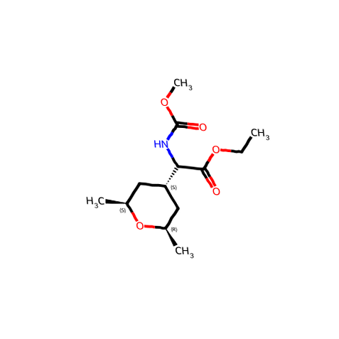 CCOC(=O)C(NC(=O)OC)[C@@H]1C[C@@H](C)O[C@@H](C)C1